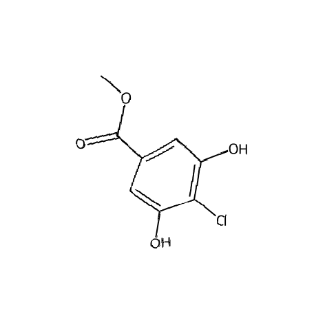 COC(=O)c1cc(O)c(Cl)c(O)c1